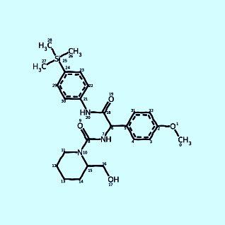 COc1ccc(C(NC(=O)N2CCCCC2CO)C(=O)Nc2ccc([Si](C)(C)C)cc2)cc1